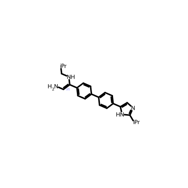 CC(C)CN/C(=C\N)c1ccc(-c2ccc(-c3cnc(C(C)C)[nH]3)cc2)cc1